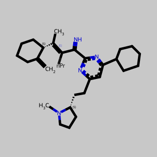 C=C1CCCC[C@@H]1/C(C)=C(\CCC)C(=N)c1nc(CC[C@@H]2CCCN2C)cc(C2CCCCC2)n1